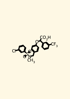 CN(Cc1ccc(OC(C(=O)O)c2cccc(C(F)(F)F)c2)cc1)S(=O)(=O)c1cccc(Cl)c1